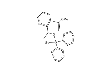 COC(=O)c1cccnc1C(C)O[Si](c1ccccc1)(c1ccccc1)C(C)(C)C